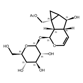 CC(=O)OC[C@]12CC1[C@@H](O)[C@@H]1C=CO[C@@H](O[C@@H]3O[C@H](CO)[C@@H](O)[C@H](O)[C@H]3O)[C@@H]12